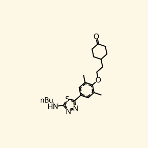 CCCCNc1nnc(-c2cc(C)c(OCCC3CCC(=O)CC3)c(C)c2)s1